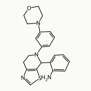 Nc1ccccc1C1c2scnc2CCN1c1cccc(N2CCOCC2)c1